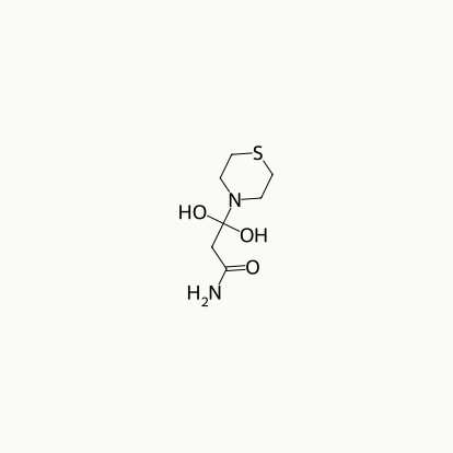 NC(=O)CC(O)(O)N1CCSCC1